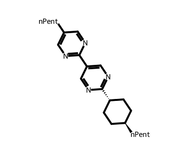 CCCCCc1cnc(-c2cnc([C@H]3CC[C@H](CCCCC)CC3)nc2)nc1